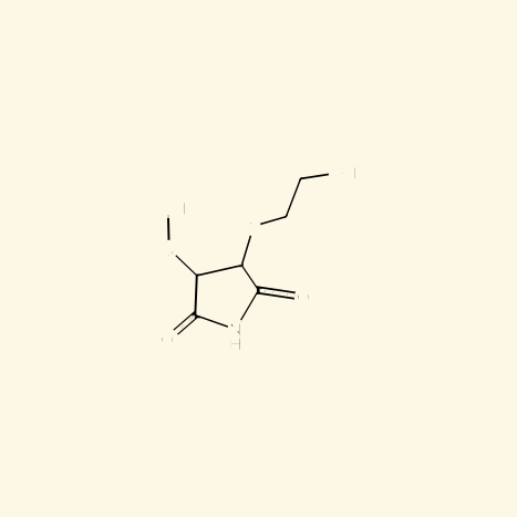 CSC1C(=O)NC(=O)C1SCCO